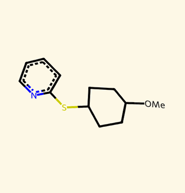 COC1CCC(Sc2ccccn2)CC1